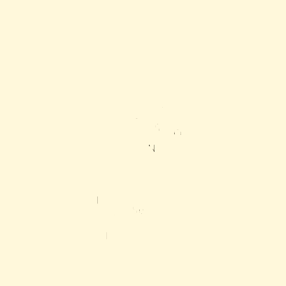 Cc1ccc(S(=O)(=O)N2CCC([Se]C(F)F)CC2)cc1